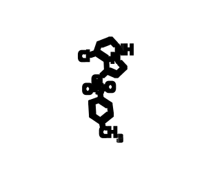 Cc1ccc(S(=O)(=O)OC2=CCN3NC=CC(Cl)=C23)cc1